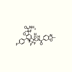 Cc1nc2ccc(C(=O)NC[C@](O)(c3cc4c(c(-c5ccc(F)cc5)n3)OC[C@]4(F)C(N)=O)C(F)(F)F)cc2o1